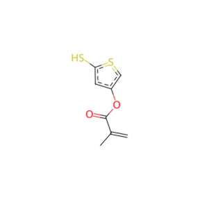 C=C(C)C(=O)Oc1csc(S)c1